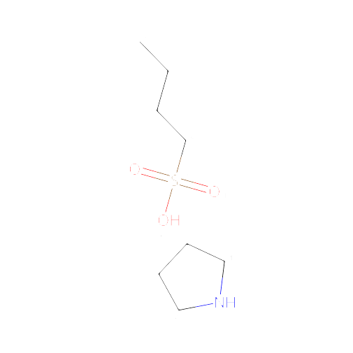 C1CCNC1.CCCCS(=O)(=O)O